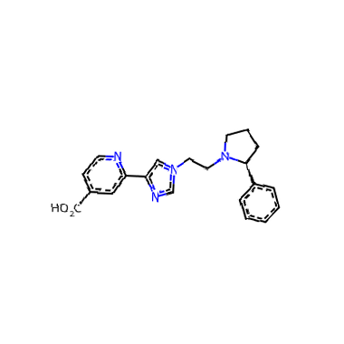 O=C(O)c1ccnc(-c2cn(CCN3CCC[C@H]3c3ccccc3)cn2)c1